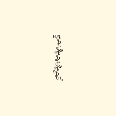 CCOC(=O)CNC(=O)OCCOCCNC(=O)OCCOCCN